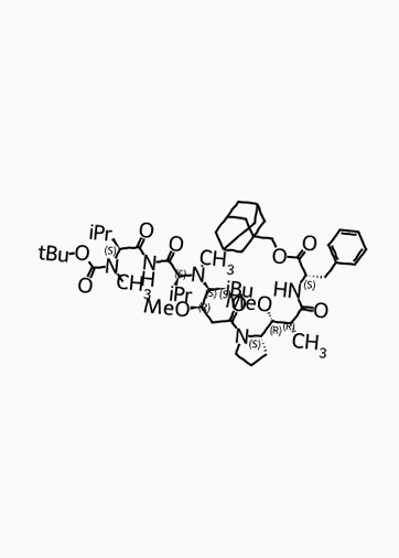 CC[C@H](C)[C@@H]([C@@H](CC(=O)N1CCC[C@H]1[C@H](OC)[C@@H](C)C(=O)N[C@@H](Cc1ccccc1)C(=O)OCC12CC3CC(CC(C3)C1)C2)OC)N(C)[C@H](C(=O)NC(=O)[C@H](C(C)C)N(C)C(=O)OC(C)(C)C)C(C)C